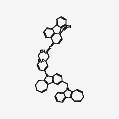 C#CC/C=C\C(=C=CCC(C)/C=C(\C=C/CCC)n1c2c(c3cc(Cn4c5c(c6ccccc64)C=CCC=C5)ccc31)C=CCCC2)c1cccc2c1sc1ccccc12